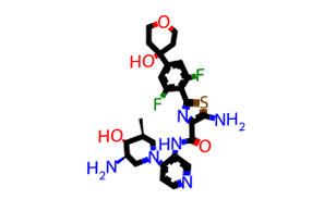 C[C@H]1CN(c2ccncc2NC(=O)c2nc(-c3c(F)cc(C4(O)CCOCC4)cc3F)sc2N)C[C@@H](N)[C@@H]1O